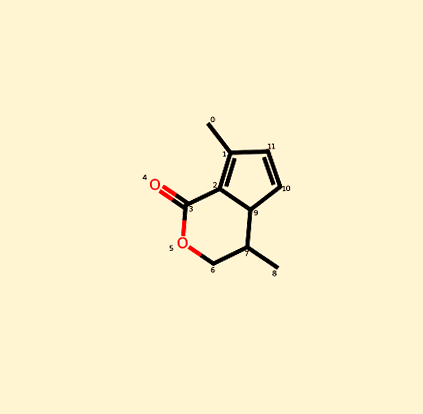 CC1=C2C(=O)OCC(C)C2C=C1